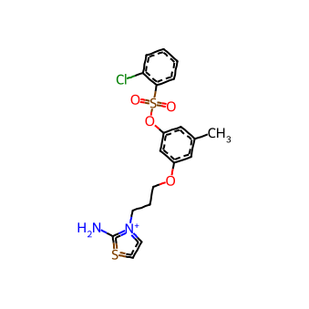 Cc1cc(OCCC[n+]2ccsc2N)cc(OS(=O)(=O)c2ccccc2Cl)c1